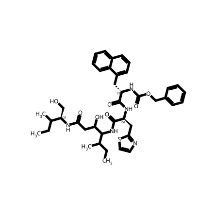 CCC(C)C(NC(=O)[C@H](Cc1nccs1)NC(=O)[C@H](Cc1cccc2ccccc12)NC(=O)OCc1ccccc1)C(O)CC(=O)N[C@H](CO)C(C)CC